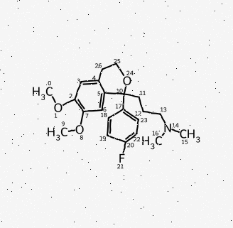 COc1cc2c(cc1OC)C(CCCN(C)C)(c1ccc(F)cc1)OCC2